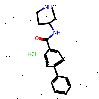 Cl.O=C(NC1CCNCC1)c1ccc(-c2ccccc2)cc1